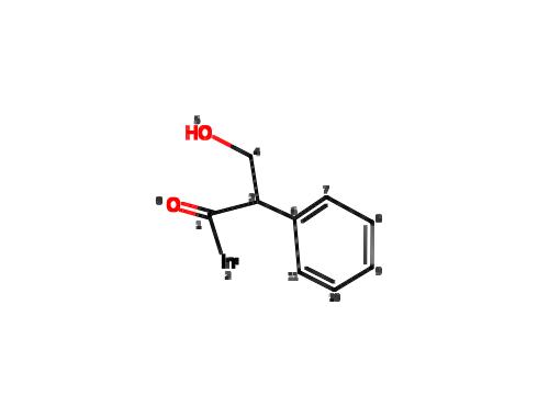 O=[C]([In])C(CO)c1ccccc1